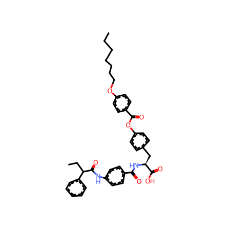 CCCCCCCOc1ccc(C(=O)Oc2ccc(C[C@H](NC(=O)c3ccc(NC(=O)C(CC)c4ccccc4)cc3)C(=O)O)cc2)cc1